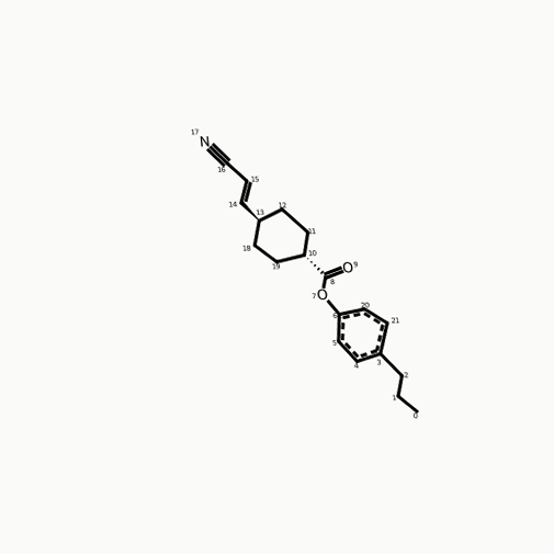 CCCc1ccc(OC(=O)[C@H]2CC[C@H](C=CC#N)CC2)cc1